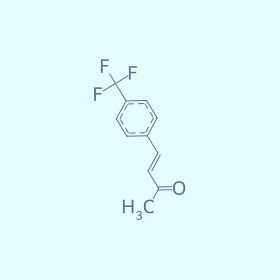 CC(=O)C=Cc1ccc(C(F)(F)F)cc1